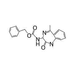 CC1=NC(NC(=O)OCc2ccccc2)C(=O)N(C)c2ccccc21